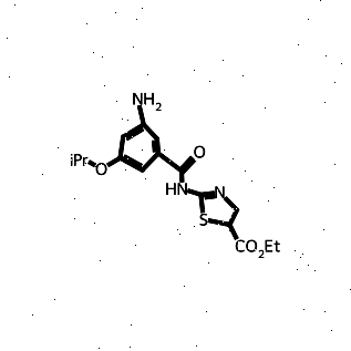 CCOC(=O)C1CN=C(NC(=O)c2cc(N)cc(OC(C)C)c2)S1